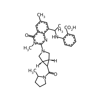 Cc1cc(C(C)Nc2ccccc2C(=O)O)c2nc(N3C[C@@H]4C(C(=O)N5CCCC5C)[C@@H]4C3)n(C)c(=O)c2c1